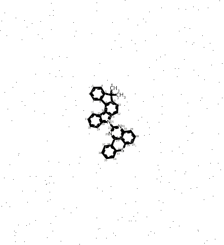 CC1(C)c2ccccc2-c2c1ccc1c2c2ccccc2n1-c1nc2c3c(cccc3n1)Sc1ccccc1-2